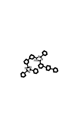 c1ccc(C2=NC(c3cccc(-c4cccc(-c5nc(-c6ccccc6)nc(-c6ccccc6)n5)c4)c3)NC(c3cccc(-c4ccc(-c5ccccc5)cc4)c3)=N2)cc1